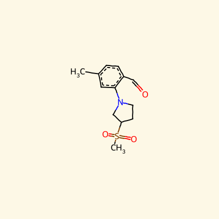 Cc1ccc(C=O)c(N2CCC(S(C)(=O)=O)C2)c1